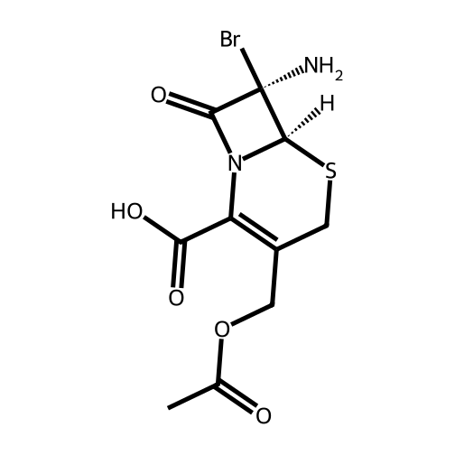 CC(=O)OCC1=C(C(=O)O)N2C(=O)[C@@](N)(Br)[C@H]2SC1